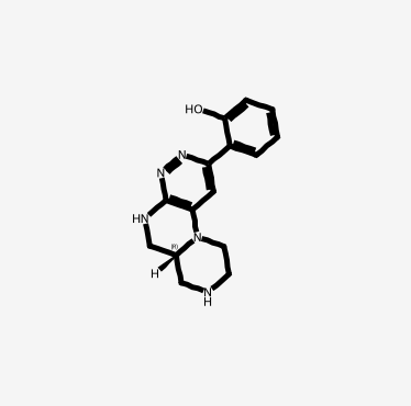 Oc1ccccc1-c1cc2c(nn1)NC[C@H]1CNCCN21